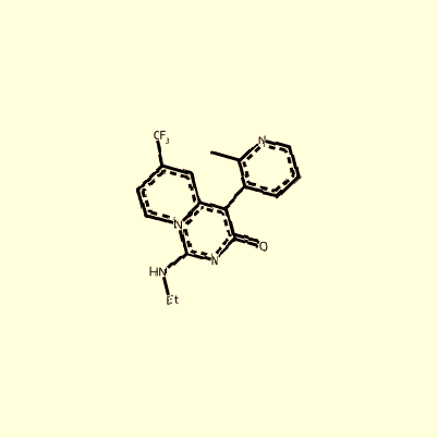 CCNc1nc(=O)c(-c2cccnc2C)c2cc(C(F)(F)F)ccn12